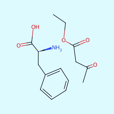 CCOC(=O)CC(C)=O.N[C@@H](Cc1ccccc1)C(=O)O